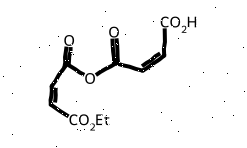 CCOC(=O)/C=C\C(=O)OC(=O)/C=C\C(=O)O